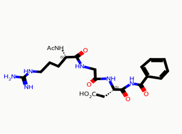 CC(=O)N[C@@H](CCCNC(=N)N)C(=O)NCC(=O)N[C@@H](CC(=O)O)C(=O)NC(=O)c1ccccc1